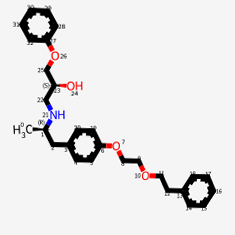 C[C@H](Cc1ccc(OCCOCCc2ccccc2)cc1)NC[C@H](O)COc1ccccc1